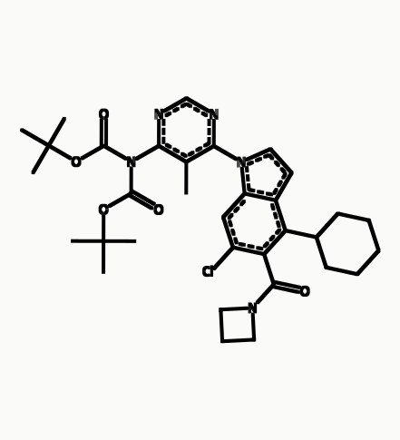 Cc1c(N(C(=O)OC(C)(C)C)C(=O)OC(C)(C)C)ncnc1-n1ccc2c(C3CCCCC3)c(C(=O)N3CCC3)c(Cl)cc21